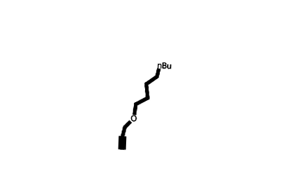 C#CCOCCCCCCCC